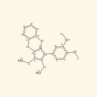 COc1ccc(-c2c(CO)c(CO)c3n2Cc2ccccc2C3)cc1OC